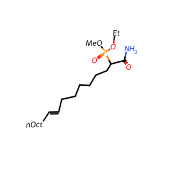 CCCCCCCCC=CCCCCCCC(C(N)=O)P(=O)(OC)OCC